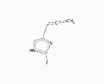 C=C=Cc1c[nH]c(F)n1